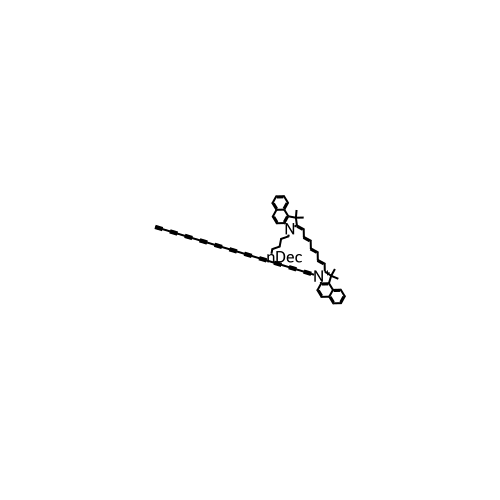 C#CC#CC#CC#CC#CC#CC#CC#CC#CC#CC#C[N+]1=C(/C=C/C=C/C=C/C=C2\N(CCCCCCCCCCCCCC)c3ccc4ccccc4c3C2(C)C)C(C)(C)c2c1ccc1ccccc21